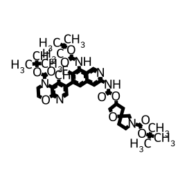 Cc1c(-c2cc3cc(NC(=O)OC4COC5(CCN(C(=O)OC(C)(C)C)C5)C4)ncc3c(NC(=O)OC(C)(C)C)c2F)cnc2c1N(C(=O)OC(C)(C)C)CCO2